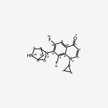 O=c1ccn(C2CC2)c2c(F)c(N3CC4CC3CN4)c(F)cc12